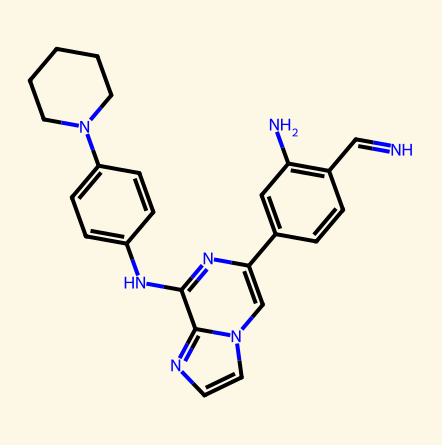 N=Cc1ccc(-c2cn3ccnc3c(Nc3ccc(N4CCCCC4)cc3)n2)cc1N